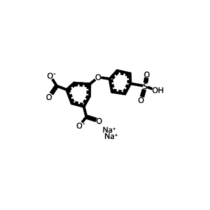 O=C([O-])c1cc(Oc2ccc(S(=O)(=O)O)cc2)cc(C(=O)[O-])c1.[Na+].[Na+]